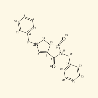 O=C1C2=CN(Cc3ccccc3)CC2C(=O)N1Cc1ccccc1